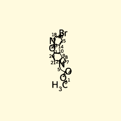 CCOC(=O)Cn1ccc2cc(Oc3ccc(Br)cn3)ccc21